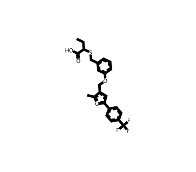 CCC(SCc1cccc(OCc2cc(-c3ccc(C(F)(F)F)cc3)oc2C)c1)C(=O)O